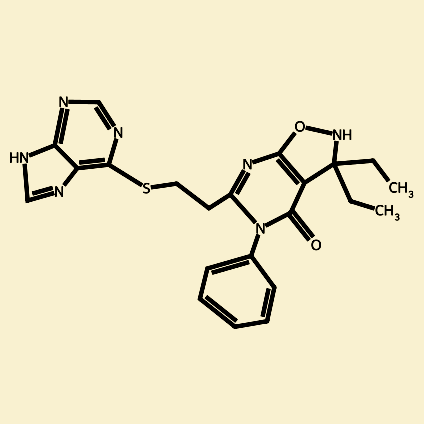 CCC1(CC)NOc2nc(CCSc3ncnc4[nH]cnc34)n(-c3ccccc3)c(=O)c21